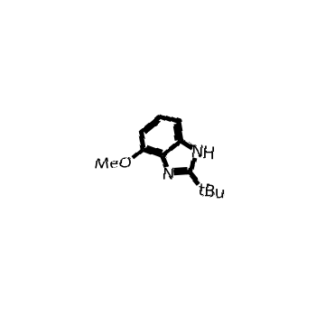 [CH2]Oc1cccc2[nH]c(C(C)(C)C)nc12